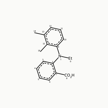 CCN(c1ccccc1C(=O)O)c1cccc(C)c1C